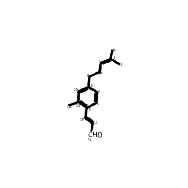 CC(C)=CCCc1ccc(/C=C/C=O)c(C)c1